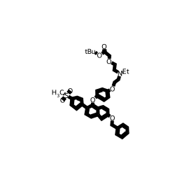 CCN(CCOCC(=O)OC(C)(C)C)CCOc1ccc(Oc2c(-c3ccc(S(C)(=O)=O)cc3)ccc3cc(OCc4ccccc4)ccc23)cc1